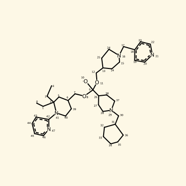 CCC1(CC)CC(COC([O])(OCC2CCN(Cc3ccncc3)CC2)C2CCN(CC3CCCCC3)CC2)CCN1c1ccccn1